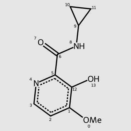 COc1ccnc(C(=O)NC2CC2)c1O